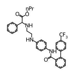 CCCOC(=O)C(NCCNc1ccc(NC(=O)c2ccccc2-c2ccc(C(F)(F)F)cc2)cc1)c1ccccc1